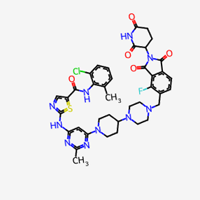 Cc1nc(Nc2ncc(C(=O)Nc3c(C)cccc3Cl)s2)cc(N2CCC(N3CCN(Cc4ccc5c(c4F)C(=O)N(C4CCC(=O)NC4=O)C5=O)CC3)CC2)n1